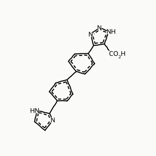 O=C(O)c1[nH]nnc1-c1ccc(-c2ccc(-c3ncc[nH]3)cc2)cc1